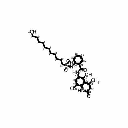 CCCCCCCCCCCCS(=O)(=O)Nc1ccccc1C(=O)Nc1cc(Cl)c2[nH]c(=O)cc(C)c2c1O